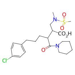 CN(CC(C(=O)O)C(CCCc1ccc(Cl)cc1)C(=O)N1CCCCC1)S(C)(=O)=O